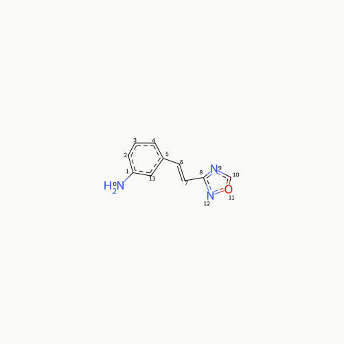 Nc1cccc(C=Cc2ncon2)c1